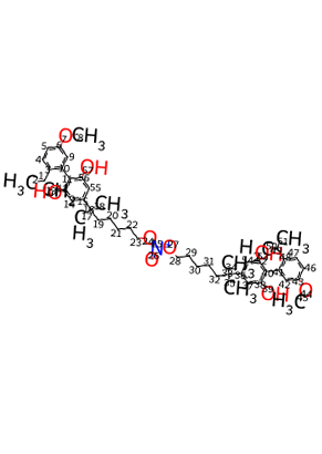 C=C(C)c1ccc(OC)cc1-c1c(O)cc(C(C)(C)CCCCCO[N+](=O)OCCCCCC(C)(C)c2cc(O)c(-c3cc(OC)ccc3C(=C)C)c(O)c2)cc1O